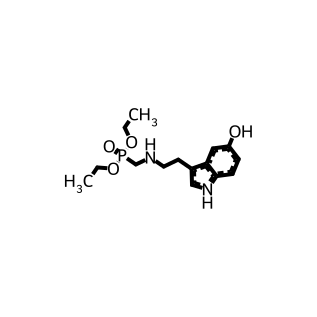 CCOP(=O)(CNCCc1c[nH]c2ccc(O)cc12)OCC